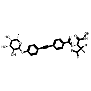 C[C@@H]1O[C@@H](Oc2ccc(C#Cc3ccc(C(=O)N[C@H](C(=O)NO)[C@](C)(O)C(F)F)cc3)cc2)[C@@H](O)[C@H](O)[C@@H]1O